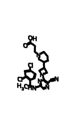 C[C@@H](Nc1cnc(C#N)c(N2CC(C3CCCN(CCC(=O)O)C3)C2)n1)c1ccc(Cl)cc1Cl